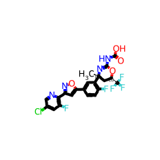 C[C@@]1(c2cc(-c3cc(-c4ncc(Cl)cc4F)no3)ccc2F)C[C@@H](C(F)(F)F)OC(NC(=O)O)=N1